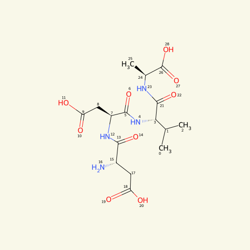 CC(C)[C@H](NC(=O)[C@H](CC(=O)O)NC(=O)[C@@H](N)CC(=O)O)C(=O)N[C@@H](C)C(=O)O